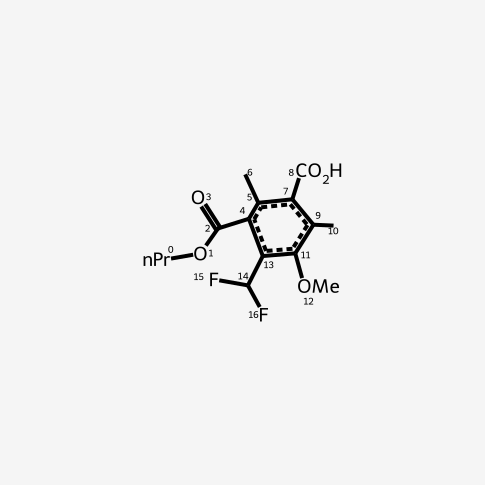 CCCOC(=O)c1c(C)c(C(=O)O)c(C)c(OC)c1C(F)F